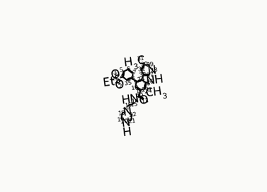 CCS(=O)(=O)c1cccc(-c2cc(C(=O)NCCN3CCNCC3)c(C)c3[nH]c4ncc(C)cc4c23)c1